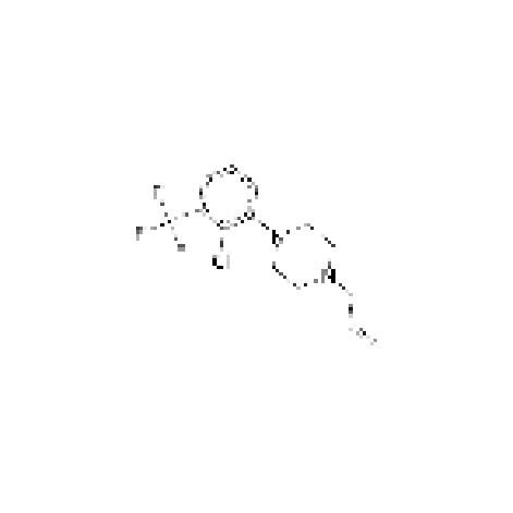 C=CCN1CCN(c2cccc(C(F)(F)F)c2Cl)CC1